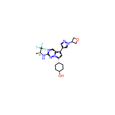 C[C@H](Nc1ncc2c(-c3cnn(C4COC4)c3)cc([C@H]3CC[C@H](O)CC3)n2n1)C(F)(F)F